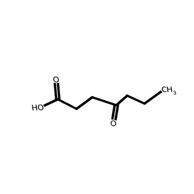 CCCC(=O)CCC(=O)O